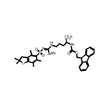 CN/C(=N\S(=O)(=O)c1c(C)c(C)c2c(c1C)CC(C)(C)O2)NCCCC(NC(=O)OCC1c2ccccc2-c2ccccc21)C(=O)O